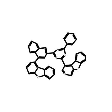 c1ccc(-c2nc(-c3cc(-c4cccc5oc6ccccc6c45)c4ccccc4c3)nc(-c3cncc4oc5ccccc5c34)n2)cc1